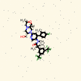 Cc1cc(F)ccc1-c1cc(N2C[C@H]3COC(C)CN3C[C@H]2CO)ncc1N(C)C(=O)C(C)(C)c1cc(C(F)(F)F)cc(C(F)(F)F)c1